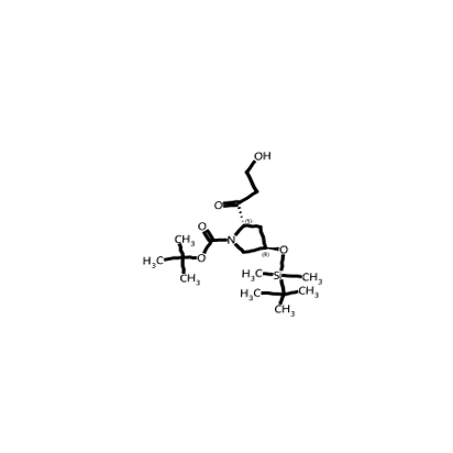 CC(C)(C)OC(=O)N1C[C@H](O[Si](C)(C)C(C)(C)C)C[C@H]1C(=O)CCO